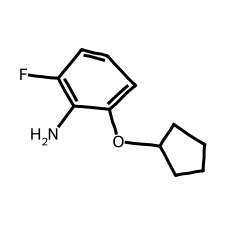 Nc1c(F)cccc1OC1CCCC1